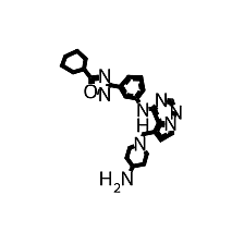 NC1CCN(Cc2ccn3ncnc(Nc4cccc(-c5noc(C6CCCCC6)n5)c4)c23)CC1